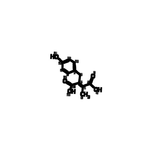 CC(C(=O)O)=C(Cc1ccc(O)cc1)C(=O)O